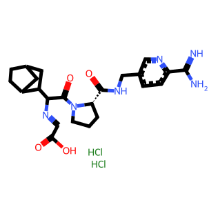 Cl.Cl.N=C(N)c1ccc(CNC(=O)[C@@H]2CCCN2C(=O)C(N=CC(=O)O)C2CC3CCC2C3)cn1